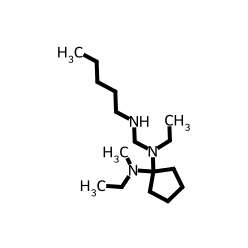 CCCCCNCN(CC)C1(N(C)CC)CCCC1